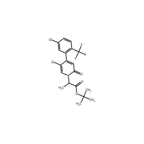 CC(C(=O)OC(C)(C)C)n1cc(Cl)c(-c2cc(Cl)ccc2C(F)(F)F)cc1=O